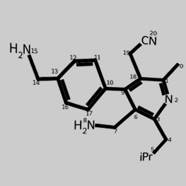 Cc1nc(CC(C)C)c(CN)c(-c2ccc(CN)cc2)c1CC#N